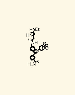 CCNc1c[nH]c(CC(=O)NCc2ccc3c(-c4cccc(C(N)=S)c4)cn(C4CCN(S(C)(=O)=O)CC4)c3c2)c1